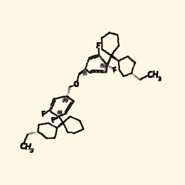 CC[C@H]1CC[C@H](C2([C@@]3(F)C=C[C@@H](COC[C@@H]4C=C[C@](F)(C5([C@H]6CC[C@H](CC)CC6)CCCCC5)C(F)=C4)C=C3F)CCCCC2)CC1